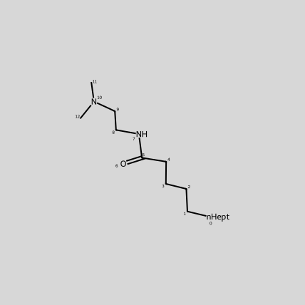 CCCCCCCCCCCC(=O)NCCN(C)C